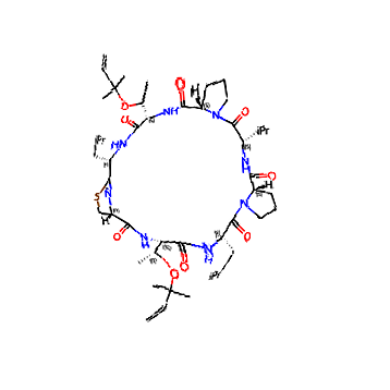 C=CC(C)(C)OC(C)[C@@H]1NC(=O)[C@@H]2CCCN2C(=O)[C@H](C(C)C)NC(=O)[C@@H]2CCCN2C(=O)[C@H](CC(C)C)NC(=O)[C@H]([C@@H](C)OC(C)(C)C=C)NC(=O)[C@@H]2CSC(=N2)[C@H](CC(C)C)NC1=O